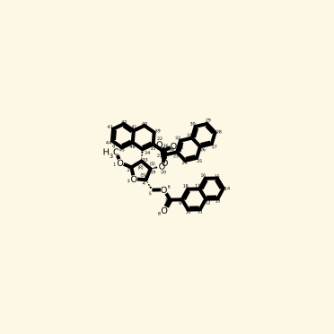 COC1O[C@@H](COC(=O)c2ccc3ccccc3c2)[C@@H](OC(=O)c2ccc3ccccc3c2)[C@H]1C1=C(C(=O)O)CCc2ccccc21